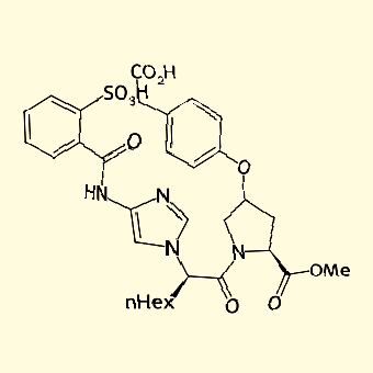 CCCCCC[C@H](C(=O)N1CC(Oc2ccc(CC(=O)O)cc2)C[C@H]1C(=O)OC)n1cnc(NC(=O)c2ccccc2S(=O)(=O)O)c1